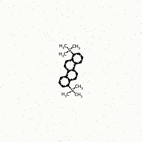 C[Si](C)(C)c1cccc2c1ccc1c3cccc([Si](C)(C)C)c3ccc21